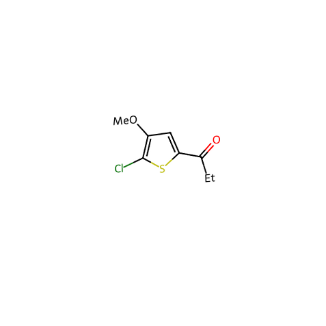 CCC(=O)c1cc(OC)c(Cl)s1